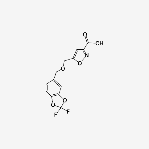 O=C(O)c1cc(COCc2ccc3c(c2)OC(F)(F)O3)on1